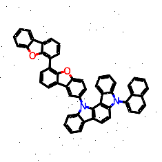 c1ccc2c(-n3c4ccccc4c4c3ccc3c5ccccc5n(-c5ccc6oc7c(-c8cccc9c8oc8ccccc89)cccc7c6c5)c34)cccc2c1